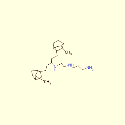 CC1C2CCC(CC2)C1CCC(CCC1C2CCC(CC2)C1C)NCCNCCCN